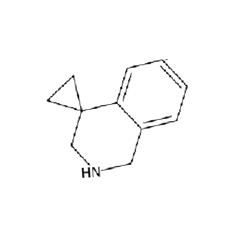 [c]1ccc2c(c1)C1(CC1)CNC2